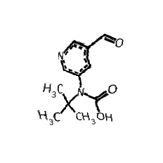 CC(C)(C)N(C(=O)O)c1cncc(C=O)c1